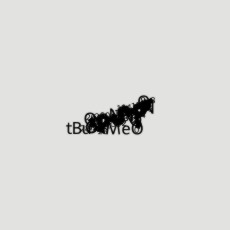 COCOc1cc2nc(C)oc2cc1-c1ccc2nc(C3=CC4(CC4)N(C(=O)OC(C)(C)C)CC3)ccc2n1